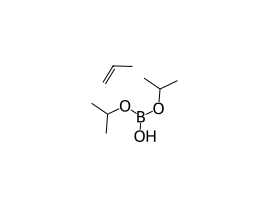 C=CC.CC(C)OB(O)OC(C)C